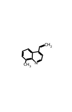 C=Cc1ccnc2c(C)cccc12